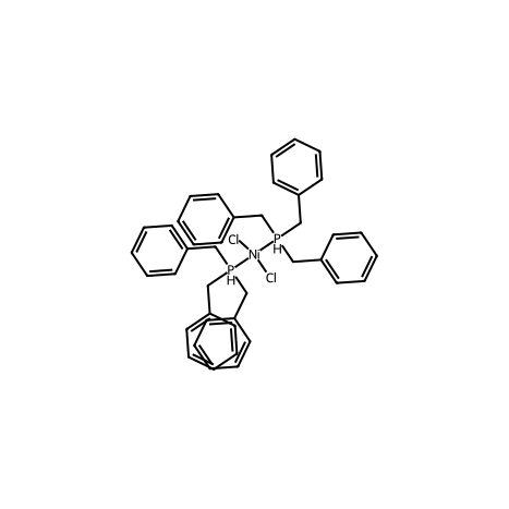 [Cl][Ni]([Cl])([PH](Cc1ccccc1)(Cc1ccccc1)Cc1ccccc1)[PH](Cc1ccccc1)(Cc1ccccc1)Cc1ccccc1